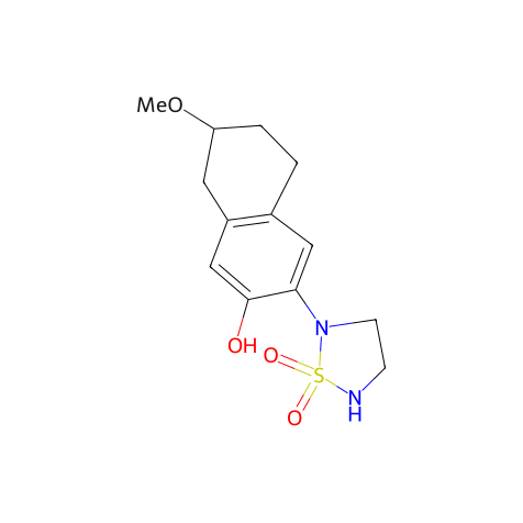 COC1CCc2cc(N3CCNS3(=O)=O)c(O)cc2C1